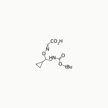 CC(C)(C)OC(=O)NCC(ON=CC(=O)O)C1CC1